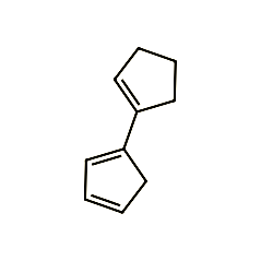 C1=CCC(C2=CCCC2)=C1